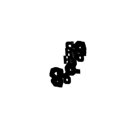 Cc1cc(C(=O)N2CCCCc3ccccc32)ccc1CNC(=O)Nc1c(F)cccc1Cl